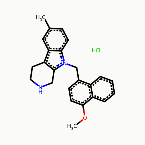 COc1ccc(Cn2c3c(c4cc(C)ccc42)CCNC3)c2ccccc12.Cl